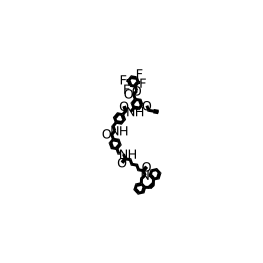 C#CCOc1cc(NC(=O)c2ccc(CNC(=O)c3ccc(CNC(=O)CCCCC(=O)N4Cc5ccccc5C#CC5=C4CCC=C5)cc3)cc2)cc(C(=O)Oc2c(F)c(F)cc(F)c2F)c1